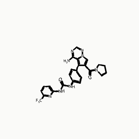 Nc1ncnn2cc(C(=O)N3CCCC3)c(-c3ccc(NC(=O)Nc4cccc(C(F)(F)F)n4)cc3)c12